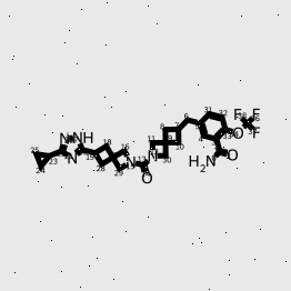 NC(=O)c1cc(CC2CC3(C2)CN(C(=O)N2CC4(CC(c5nc(C6CC6)n[nH]5)C4)C2)C3)ccc1OC(F)(F)F